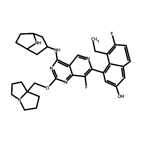 CCc1c(F)ccc2cc(O)cc(-c3ncc4c(NC5CC6CCC(C5)N6)nc(OCC56CCCN5CCC6)nc4c3F)c12